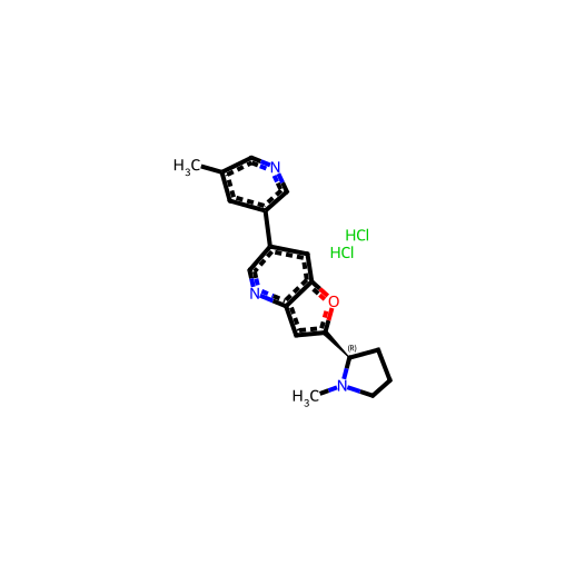 Cc1cncc(-c2cnc3cc([C@H]4CCCN4C)oc3c2)c1.Cl.Cl